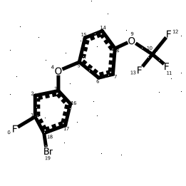 Fc1cc(Oc2ccc(OC(F)(F)F)cc2)ccc1Br